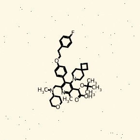 Cc1nc(CN(C)C2CCOCC2)c(-c2ccc(OCCc3ccc(F)cc3)cc2)c(N2CCC3(CCC3)CC2)c1[C@H](OC(C)(C)C)C(=O)O